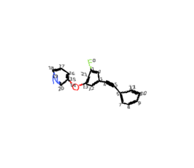 Fc1cc(C#Cc2ccccc2)cc(Oc2cccnc2)c1